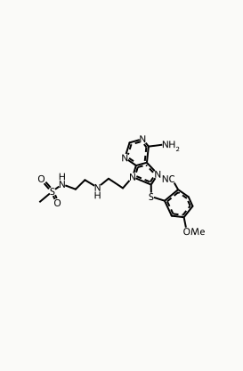 COc1ccc(C#N)c(Sc2nc3c(N)ncnc3n2CCNCCNS(C)(=O)=O)c1